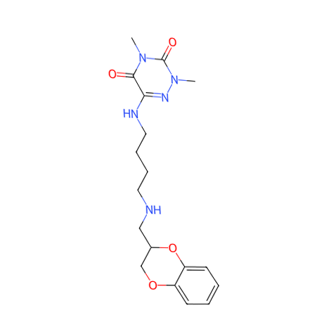 Cn1nc(NCCCCNCC2COc3ccccc3O2)c(=O)n(C)c1=O